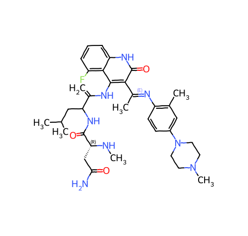 C=C(Nc1c(/C(C)=N/c2ccc(N3CCN(C)CC3)cc2C)c(=O)[nH]c2cccc(F)c12)C(CC(C)C)NC(=O)[C@@H](CC(N)=O)NC